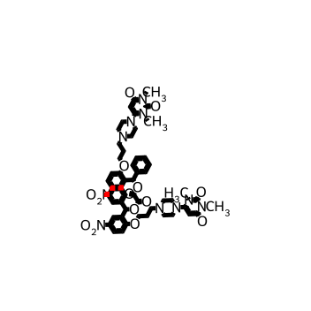 Cn1c(N2CCN(CCCOc3ccc([N+](=O)[O-])cc3C(OC(=O)C(=O)OC(c3ccccc3)c3cc([N+](=O)[O-])ccc3OCCCN3CCN(c4cc(=O)n(C)c(=O)n4C)CC3)c3ccccc3)CC2)cc(=O)n(C)c1=O